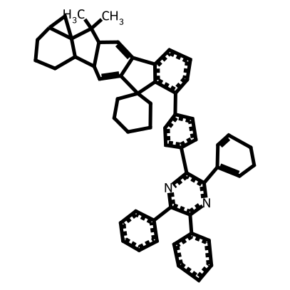 CC1(C)C2C=C3C(=CC2C2CCCC4CC421)C1(CCCCC1)c1c3cccc1-c1ccc(-c2nc(-c3ccccc3)c(-c3ccccc3)nc2C2=CCCC=C2)cc1